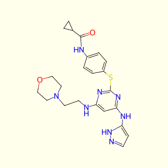 O=C(Nc1ccc(Sc2nc(NCCN3CCOCC3)cc(Nc3ccn[nH]3)n2)cc1)C1CC1